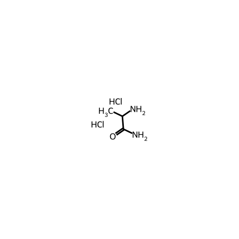 CC(N)C(N)=O.Cl.Cl